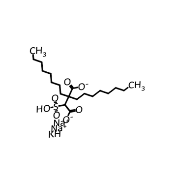 CCCCCCCCC(CCCCCCCC)(C(=O)[O-])C(C(=O)[O-])S(=O)(=O)O.[KH].[Na+].[Na+]